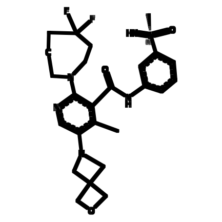 Cc1c(N2CC3(COC3)C2)cnc(N2CCCC(F)(F)CC2)c1C(=O)Nc1cccc([S@@](C)(=N)=O)c1